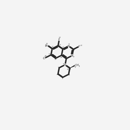 C[C@H]1CCCCN1c1nc(F)nc2c(F)c(Br)c(Cl)cc12